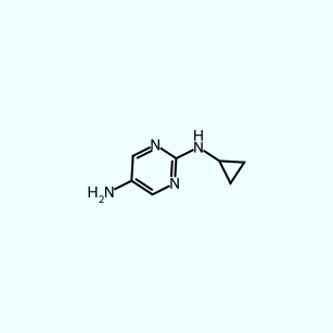 Nc1cnc(NC2CC2)nc1